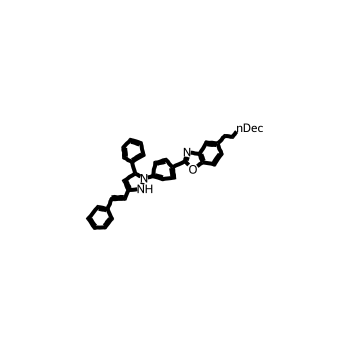 CCCCCCCCCCCCc1ccc2oc(-c3ccc(N4NC(C=Cc5ccccc5)=CC4c4ccccc4)cc3)nc2c1